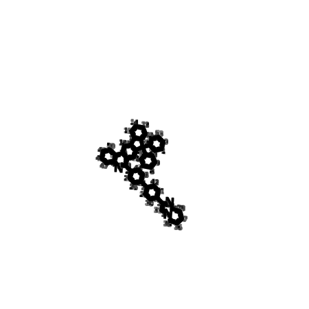 c1ccc(C2(c3ccccc3)c3ccccc3-c3cc4c(cc32)c(-c2ccc(-c3ccc(-c5cn6ccccc6n5)cc3)cc2)nc2ccccc24)cc1